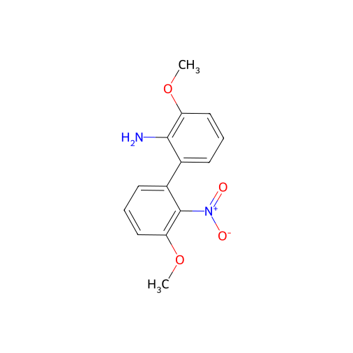 COc1cccc(-c2cccc(OC)c2[N+](=O)[O-])c1N